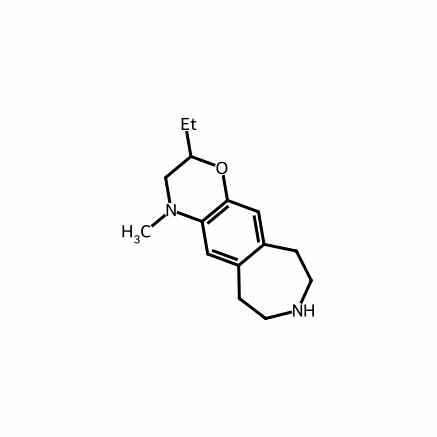 CCC1CN(C)c2cc3c(cc2O1)CCNCC3